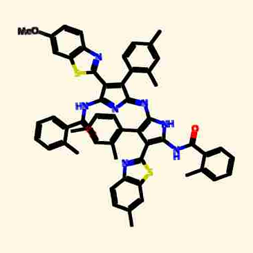 COc1ccc2nc(C3=C(c4ccc(C)cc4C)/C(=N/c4[nH]c(NC(=O)c5ccccc5C)c(-c5nc6ccc(C)cc6s5)c4-c4ccc(C)cc4C)N=C3NC(=O)c3ccccc3C)sc2c1